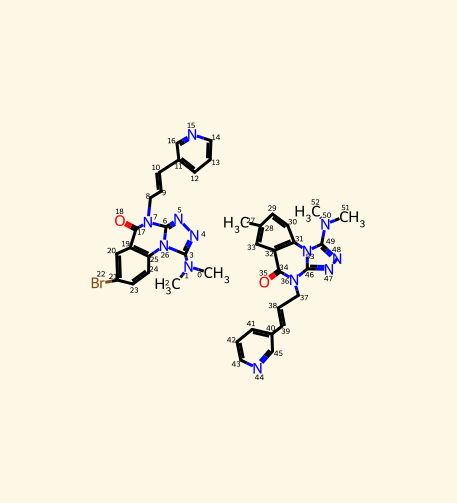 CN(C)c1nnc2n(CC=Cc3cccnc3)c(=O)c3cc(Br)ccc3n12.Cc1ccc2c(c1)c(=O)n(CC=Cc1cccnc1)c1nnc(N(C)C)n21